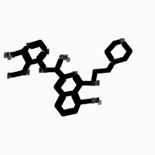 Cc1cccc2cc(C(C)Nc3ncnc(N)c3NF)nc(NCCN3CCOCC3)c12